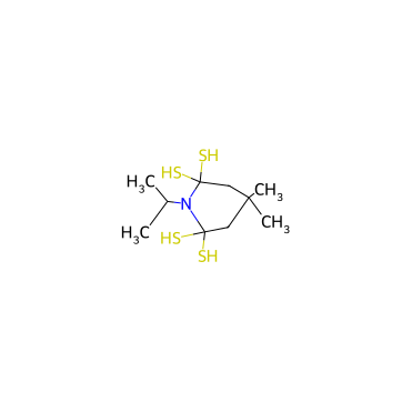 CC(C)N1C(S)(S)CC(C)(C)CC1(S)S